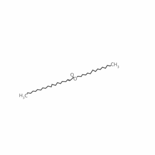 CCCCCCCCCCCCCCCCCC=CC(=O)OCCCCCCCCCCCCCCC